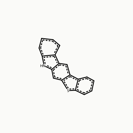 [c]1cccc2sc3cc4[nH]c5ccccc5c4cc3c12